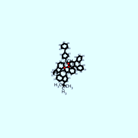 CC(C)(C)c1cc2c(c3ccccc13)-c1ccc(C(C)(C)C)c3cccc(c13)C21c2ccccc2-c2ccc(N(c3ccc(-c4ccccc4)cc3)c3ccc(-c4ccccc4)c(-c4ccccc4)c3)cc21